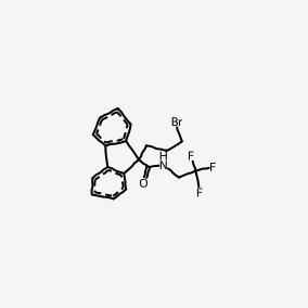 O=C(NCC(F)(F)F)C1(CCCBr)c2ccccc2-c2ccccc21